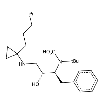 CC(C)CCCC1(NC[C@@H](O)[C@H](Cc2ccccc2)N(C(=O)O)C(C)(C)C)CC1